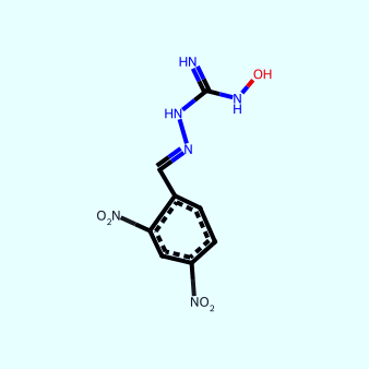 N=C(NO)NN=Cc1ccc([N+](=O)[O-])cc1[N+](=O)[O-]